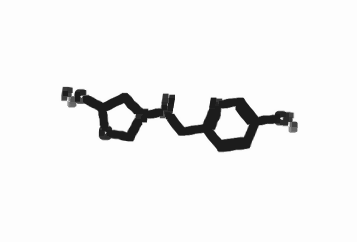 FC(F)(F)c1ccc(CNN2COC(C(F)(F)F)C2)nc1